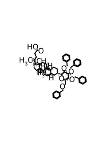 C[C@H](CCC(=O)O)[C@H]1CC[C@H]2[C@@H]3CC[C@@H]4CC([C@@H]5O[C@H](COCc6ccccc6)[C@@H](OCc6ccccc6)[C@H](OCc6ccccc6)[C@H]5OCc5ccccc5)CC[C@]4(C)[C@H]3CC[C@]12C